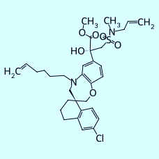 C=CCCCCN1C[C@@]2(CCCc3cc(Cl)ccc32)COc2ccc([C@](O)(CS(=O)(=O)N(C)CC=C)C(=O)OC)cc21